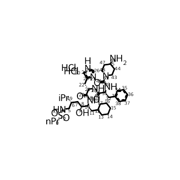 CCCS(=O)(=O)NC[C@@H](C[C@H](O)[C@H](CC1CCCCC1)NC(=O)[C@H](Cc1c[nH]cn1)NC(=O)[C@H](Cc1ccccc1)NC(=O)N1CCC(N)CC1)C(C)C.Cl.Cl